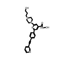 O=C(NO)c1cc(-c2ccc(C#Cc3cccnc3)cc2)nc(N2CCN(CCCO)CC2)c1